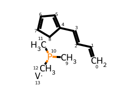 C=CC=CC1=CC=CC1.CP(C)C.[V]